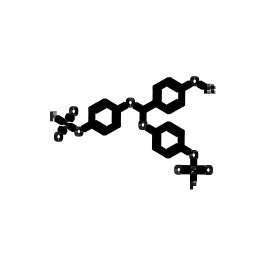 CCOc1ccc(C(Oc2ccc(OS(=O)(=O)F)cc2)Oc2ccc(OS(=O)(=O)F)cc2)cc1